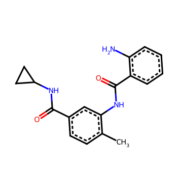 Cc1ccc(C(=O)NC2CC2)cc1NC(=O)c1ccccc1N